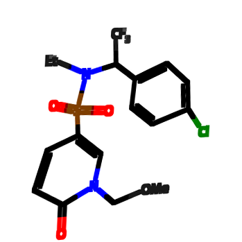 CCN(C(c1ccc(Cl)cc1)C(F)(F)F)S(=O)(=O)c1ccc(=O)n(COC)c1